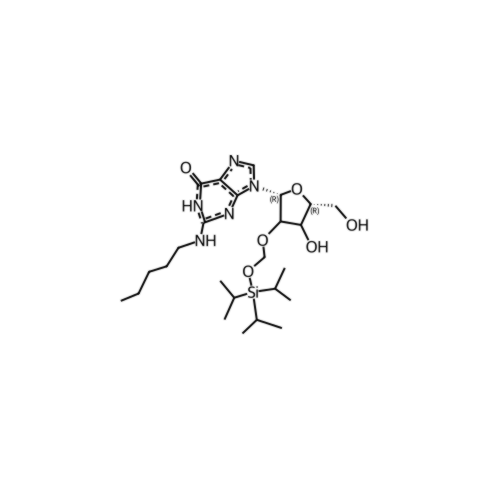 CCCCCNc1nc2c(ncn2[C@@H]2O[C@H](CO)C(O)C2OCO[Si](C(C)C)(C(C)C)C(C)C)c(=O)[nH]1